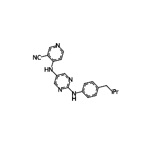 CC(C)Cc1ccc(Nc2ncc(Nc3ccncc3C#N)cn2)cc1